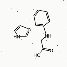 O=C(O)CNc1ccccc1.c1c[nH]cn1